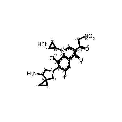 Cl.NC1CN(c2c(F)cc3c(=O)c(C(=O)C[N+](=O)[O-])cn(C4CC4)c3c2Cl)CC12CC2